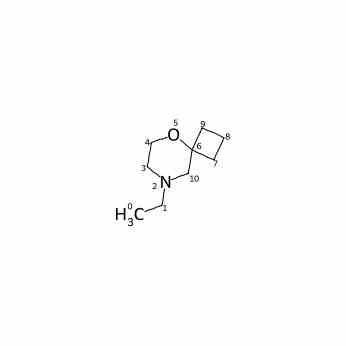 CCN1CCOC2(CCC2)C1